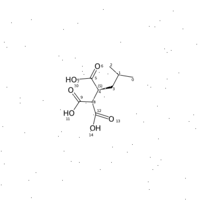 CC(C)C[C@H](C(=O)O)C(C(=O)O)C(=O)O